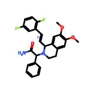 COc1cc2c(cc1OC)C(/C=C/c1cc(F)ccc1F)N(C(C(N)=O)c1ccccc1)CC2